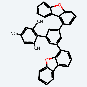 N#Cc1cc(C#N)c(-c2cc(-c3cccc4c3oc3ccccc34)cc(-c3cccc4oc5ccccc5c34)c2)c(C#N)c1